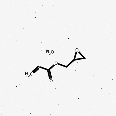 C=CC(=O)OCC1CO1.O